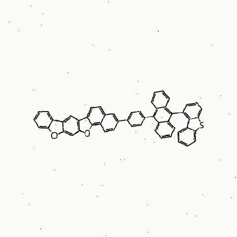 c1ccc2c(c1)oc1cc3oc4c5ccc(-c6ccc(-c7c8ccccc8c(-c8cccc9sc%10ccccc%10c89)c8ccccc78)cc6)cc5ccc4c3cc12